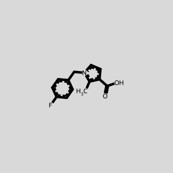 Cc1c(C(=O)O)ccn1Cc1ccc(F)cc1